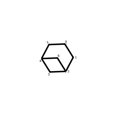 [CH]1C[C]2CC(C1)C2